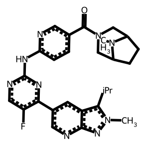 CC(C)c1c2cc(-c3nc(Nc4ccc(C(=O)N5CC6CCC(C5)N6C)cn4)ncc3F)cnc2nn1C